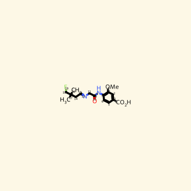 COc1cc(C(=O)O)ccc1NC(=O)C/N=C/CC(C)(C)CF